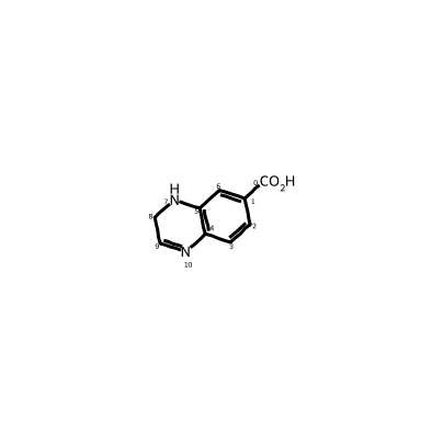 O=C(O)c1ccc2c(c1)NCC=N2